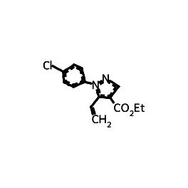 C=Cc1c(C(=O)OCC)cnn1-c1ccc(Cl)cc1